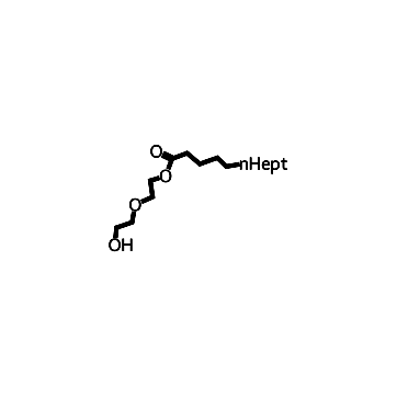 [CH2]CCCCCCCCCCC(=O)OCCOCCO